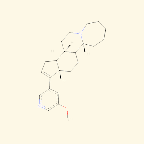 CCCOc1cncc(C2=CC[C@H]3[C@@H]4CCN5CCCCC[C@]5(C)[C@H]4CC[C@]23C)c1